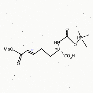 COC(=O)/C=C/CC[C@H](NC(=O)O[PH](C)(C)C)C(=O)O